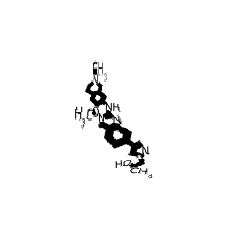 COc1cc2c(cc1Nc1ncc3ccc(-c4cnn(CC(C)O)c4)cc3n1)CN(C)CC2